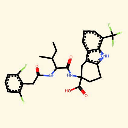 CCC(C)C(NC(=O)Cc1c(F)cccc1F)C(=O)NC1(C(=O)O)CCc2[nH]c3c(C(F)(F)F)cccc3c2C1